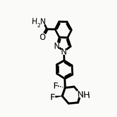 NC(=O)c1cccc2cn(-c3ccc([C@@]4(F)CNCC[C@H]4F)cc3)nc12